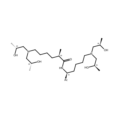 CC(=O)[C@H](CCCCN(C[C@@H](C)O)C[C@@H](C)O)NC(=O)[C@H](C)CCCCN(C[C@@H](C)O)C[C@@H](C)O